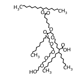 CCCCCCCCC(CCCCCC)OC(=O)CCCCCOC(COCCCCC(C(=O)O)C(CCCCCC)CCCCCCCC)C(=O)N(CCCCCCCC)CCOCCOCCOCCOCCO